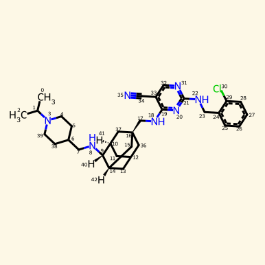 CC(C)N1CCC(CN[C@@H]2[C@@H]3CC4C[C@H]2C[C@@](CNc2nc(NCc5ccccc5Cl)ncc2C#N)(C4)C3)CC1